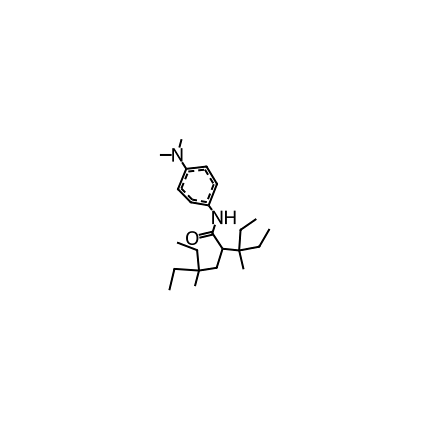 CCC(C)(CC)CC(C(=O)Nc1ccc(N(C)C)cc1)C(C)(CC)CC